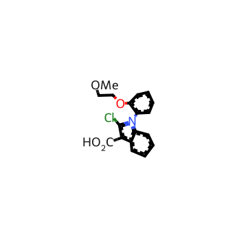 COCCOc1ccccc1-n1c(Cl)c(C(=O)O)c2ccccc21